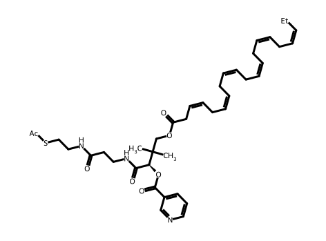 CC/C=C\C/C=C\C/C=C\C/C=C\C/C=C\C/C=C\CC(=O)OCC(C)(C)[C@@H](OC(=O)c1cccnc1)C(=O)NCCC(=O)NCCSC(C)=O